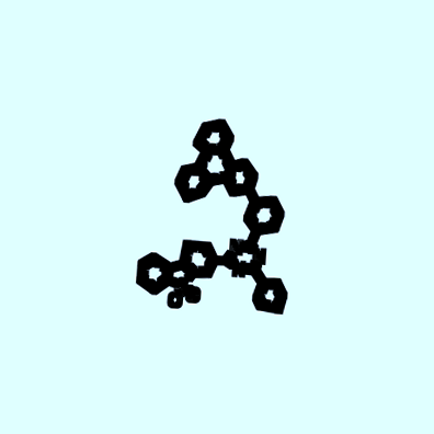 O=S1(=O)c2ccccc2-c2ccc(-c3nc(-c4ccccc4)nc(-c4cccc(-c5ccc6c7ccccc7c7ccccc7c6c5)c4)n3)cc21